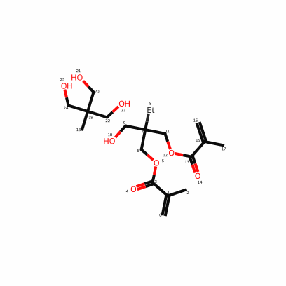 C=C(C)C(=O)OCC(CC)(CO)COC(=O)C(=C)C.CC(CO)(CO)CO